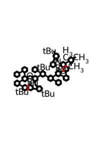 Cc1cc(C)c(-c2cc3c4c(c2)-n2c5ccc(C(C)(C)C)cc5c5cc(C(C)(C)C)cc(c52)B4c2cc(-c4cc(-c5ccc(-c6ccccc6)c(-c6cc7c8c(c6)-n6c9ccc(C(C)(C)C)cc9c9cc(C(C)(C)C)cc(c96)B8c6cc(-c8ccccc8-c8ccccc8)cc(-c8ccccc8-c8ccccc8)c6O7)c5)ccc4-c4ccccc4)cc(-c4ccccc4-c4ccccc4)c2O3)c(C)c1